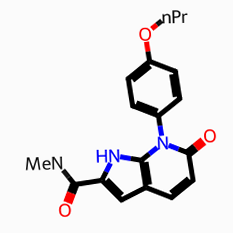 CCCOc1ccc(-n2c(=O)ccc3cc(C(=O)NC)[nH]c32)cc1